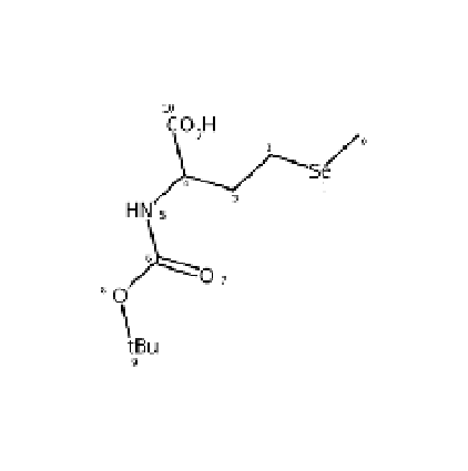 C[Se]CCC(NC(=O)OC(C)(C)C)C(=O)O